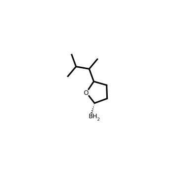 B[C@H]1CCC(C(C)C(C)C)O1